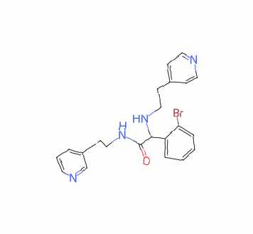 O=C(NCCc1cccnc1)C(NCCc1ccncc1)c1ccccc1Br